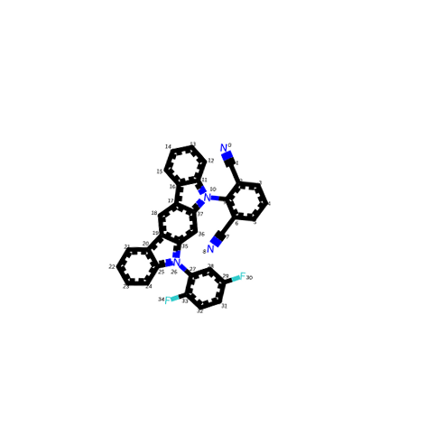 N#Cc1cccc(C#N)c1-n1c2ccccc2c2cc3c4ccccc4n(-c4cc(F)ccc4F)c3cc21